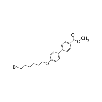 COC(=O)c1ccc(-c2ccc(OCCCCCCBr)cc2)cc1